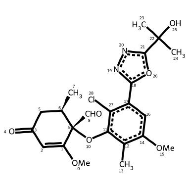 COC1=CC(=O)C[C@@H](C)[C@]1(C=O)Oc1c(C)c(OC)cc(-c2nnc(C(C)(C)O)o2)c1Cl